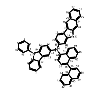 c1ccc(-n2c3ccccc3c3cc(N(c4ccc5c(c4)sc4cc6ccccc6cc45)c4ccc(-c5cccc6ccccc56)c5ccccc45)ccc32)cc1